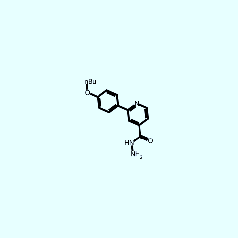 CCCCOc1ccc(-c2cc(C(=O)NN)ccn2)cc1